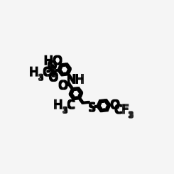 Cc1cc(C(=O)Nc2ccc(O)c(S(C)(=O)=O)c2)ccc1CCSc1ccc(OC(F)(F)F)cc1